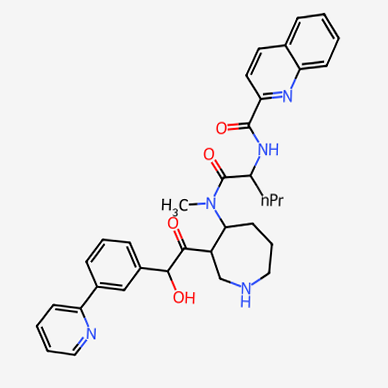 CCCC(NC(=O)c1ccc2ccccc2n1)C(=O)N(C)C1CCCNCC1C(=O)C(O)c1cccc(-c2ccccn2)c1